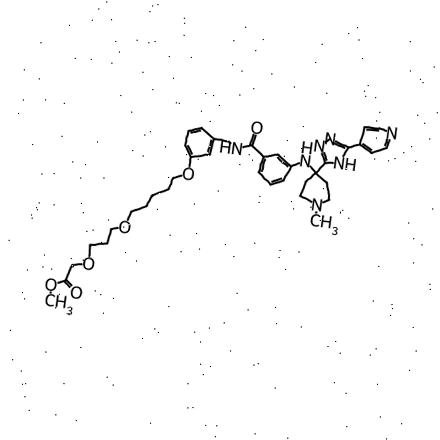 COC(=O)COCCCOCCCCCOc1cccc(CNC(=O)c2cccc(NC3(c4nnc(-c5ccncc5)[nH]4)CCN(C)CC3)c2)c1